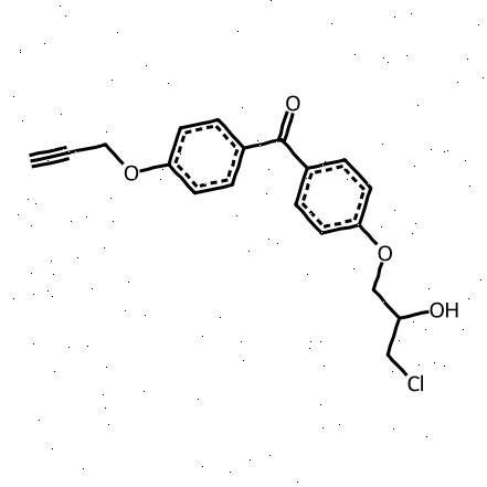 C#CCOc1ccc(C(=O)c2ccc(OCC(O)CCl)cc2)cc1